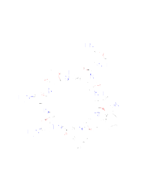 CC(=O)N[C@@H](CCN)C(=O)N[C@H]1CCNC(=O)[C@H]([C@@H](C)O)NC(=O)[C@H](CCN)NC(=O)[C@H](CCN)NC(=O)[C@H](CC(C)C)NC(=O)[C@@H](Cc2ccccc2)NC(=O)[C@H](CCN)NC1=O